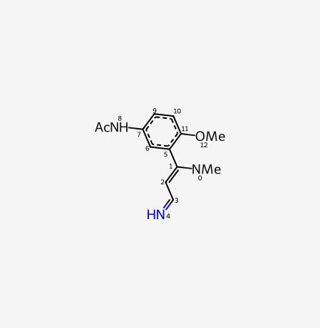 CN/C(=C\C=N)c1cc(NC(C)=O)ccc1OC